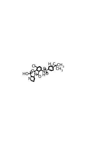 CC(C)(C)c1ccc(S(=O)(=O)Nc2ccc(Cl)c3c2C(=O)N(c2cccnc2C(=O)O)C3=O)cc1